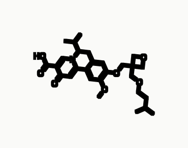 COc1cc2c(cc1OCC1(COCCC(C)C)COC1)CC(C(C)C)n1cc(C(=O)O)c(=O)cc1-2